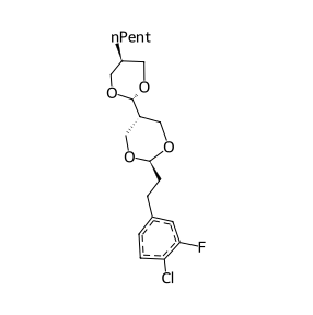 CCCCC[C@H]1CO[C@H]([C@H]2CO[C@H](CCc3ccc(Cl)c(F)c3)OC2)OC1